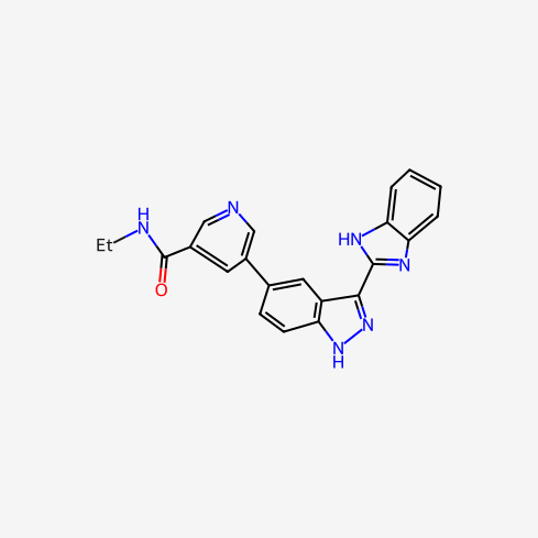 CCNC(=O)c1cncc(-c2ccc3[nH]nc(-c4nc5ccccc5[nH]4)c3c2)c1